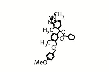 COc1ccc(COCc2cc(C(OC(=O)C3CCCC3)c3ccc4c(nnn4C)c3C)ccc2C)cc1